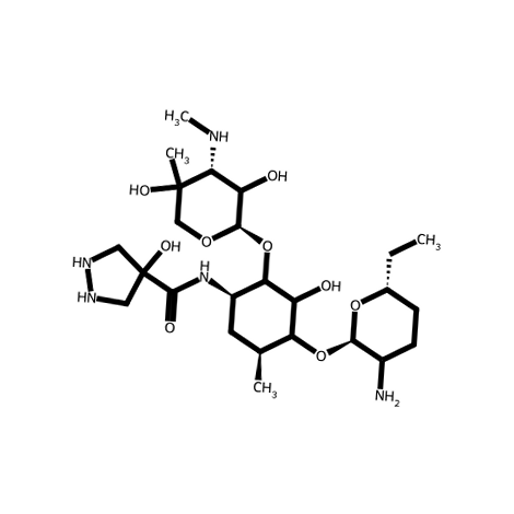 CC[C@@H]1CCC(N)[C@@H](OC2C(O)C(O[C@H]3OCC(C)(O)[C@H](NC)C3O)[C@H](NC(=O)C3(O)CNNC3)C[C@@H]2C)O1